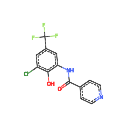 O=C(Nc1cc(C(F)(F)F)cc(Cl)c1O)c1ccncc1